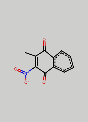 CC1=C([N+](=O)[O-])C(=O)c2ccccc2C1=O